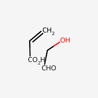 C=CC(=O)O.O=CCO